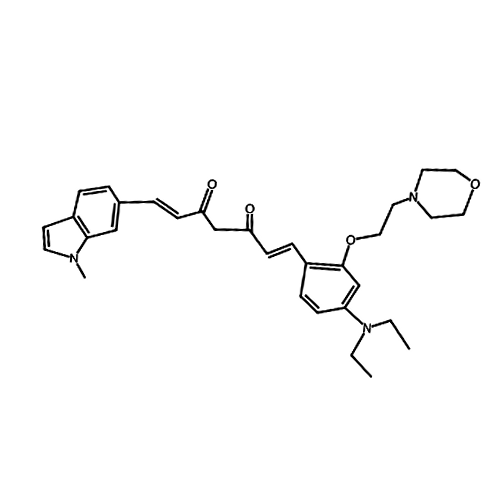 CCN(CC)c1ccc(C=CC(=O)CC(=O)C=Cc2ccc3ccn(C)c3c2)c(OCCN2CCOCC2)c1